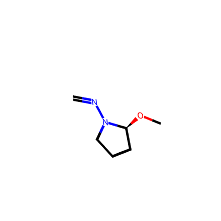 C=NN1CCC[C@@H]1OC